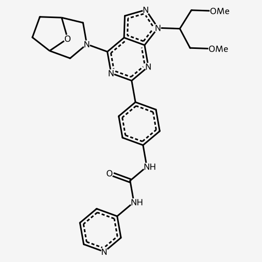 COCC(COC)n1ncc2c(N3CC4CCC(C3)O4)nc(-c3ccc(NC(=O)Nc4cccnc4)cc3)nc21